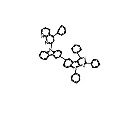 c1ccc(-c2nc(-c3ccccc3)c3c4cc(-c5ccc6c(c5)c5ccccc5n6-c5cc(-c6ccccc6)c6cccnc6n5)ccc4n(-c4ccccc4)c3n2)cc1